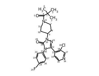 CC(C)(C)C(=O)N1CCC(n2nc(-c3ccncc3Cl)n(-c3ccc(F)cc3)c2=O)CC1